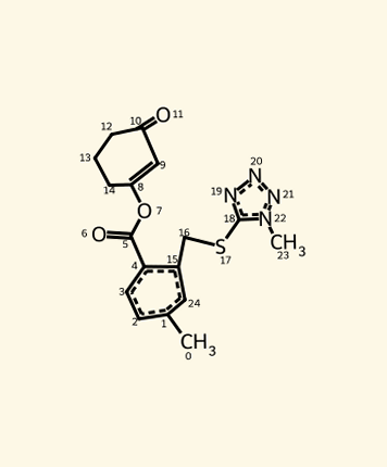 Cc1ccc(C(=O)OC2=CC(=O)CCC2)c(CSc2nnnn2C)c1